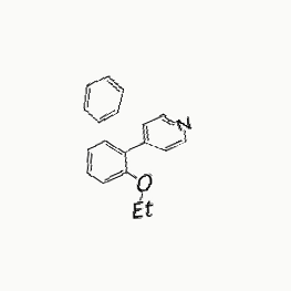 CCOc1ccccc1-c1ccncc1.c1ccccc1